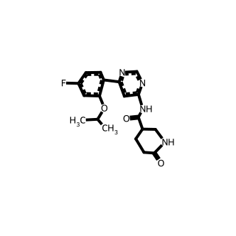 CC(C)Oc1cc(F)ccc1-c1cc(NC(=O)C2CCC(=O)NC2)ncn1